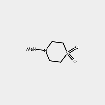 CNN1CCS(=O)(=O)CC1